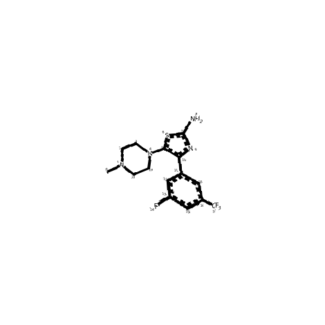 CN1CCN(c2sc(N)nc2-c2cc(F)cc(C(F)(F)F)c2)CC1